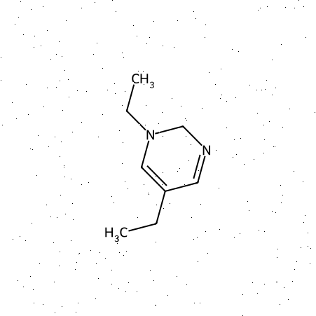 CCC1=CN(CC)CN=C1